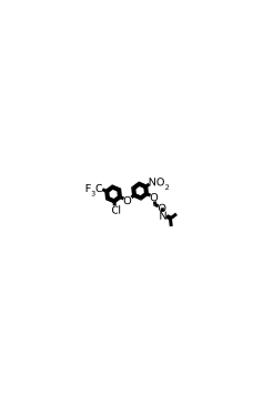 CC(C)=NOCOc1cc(Oc2ccc(C(F)(F)F)cc2Cl)ccc1[N+](=O)[O-]